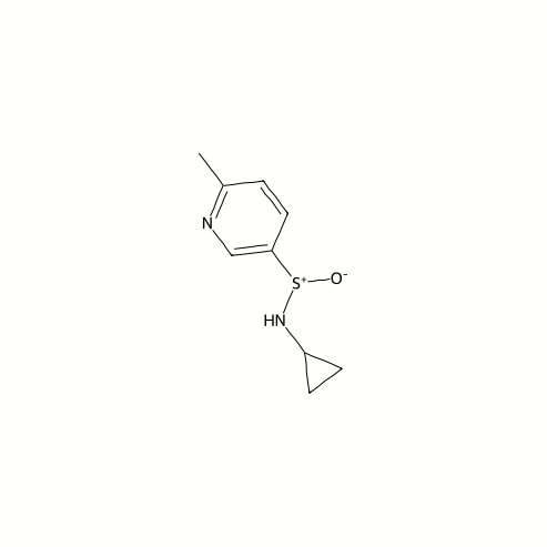 Cc1ccc([S+]([O-])NC2CC2)cn1